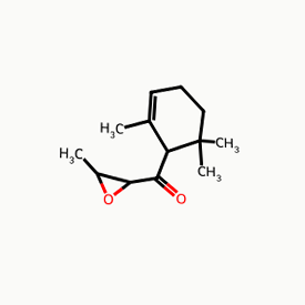 CC1=CCCC(C)(C)C1C(=O)C1OC1C